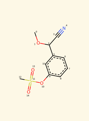 COC(C#N)c1cccc(OS(C)(=O)=O)c1